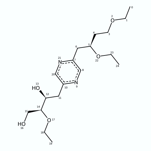 CCOCC[C@H](Cc1cnc(C[C@H](O)[C@H](CO)OCC)cn1)OCC